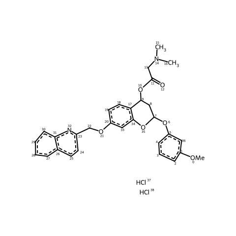 COc1cccc(OC2CC(OC(=O)CN(C)C)c3ccc(OCc4ccc5ccccc5n4)cc3O2)c1.Cl.Cl